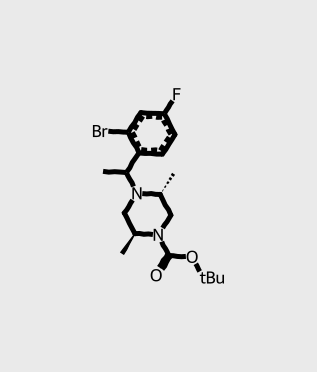 CC(c1ccc(F)cc1Br)N1C[C@H](C)N(C(=O)OC(C)(C)C)C[C@H]1C